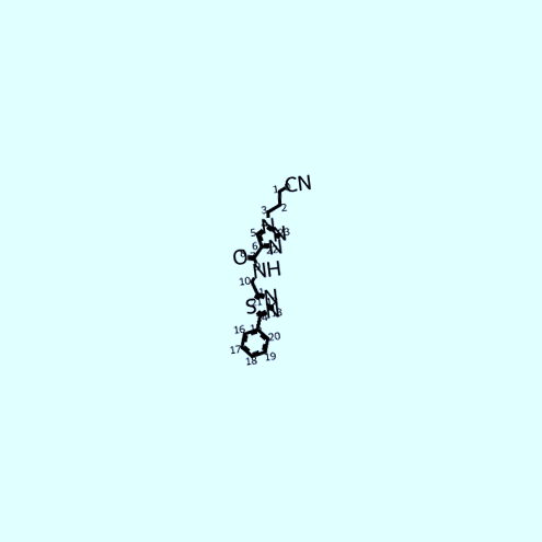 N#CCCCn1cc(C(=O)NCc2nnc(-c3ccccc3)s2)nn1